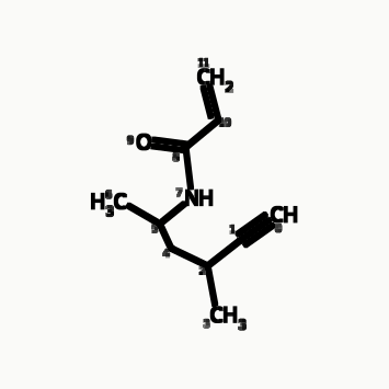 C#CC(C)CC(C)NC(=O)C=C